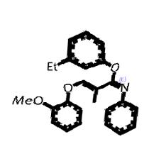 CCc1cccc(O/C(=N/c2ccccc2)C(C)=COc2ccccc2OC)c1